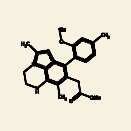 COC(=O)Cc1c(C)c2c3c(cc(C)n3CCN2)c1-c1ccc(C)cc1OC(C)(C)C